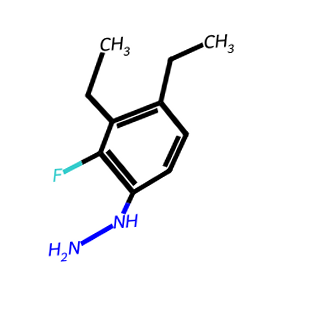 CCc1ccc(NN)c(F)c1CC